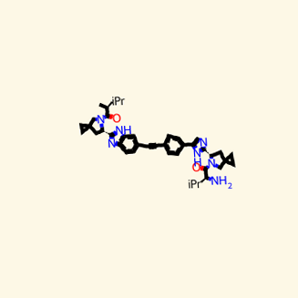 CC(C)[C@H](C)C(=O)N1CC2(CC2)C[C@H]1c1nc2ccc(C#Cc3ccc(-c4cnc([C@@H]5CC6(CC6)CN5C(=O)[C@@H](N)C(C)C)[nH]4)cc3)cc2[nH]1